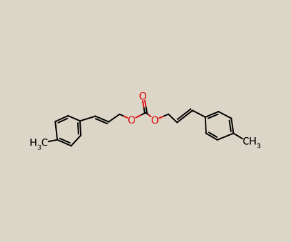 Cc1ccc(C=CCOC(=O)OCC=Cc2ccc(C)cc2)cc1